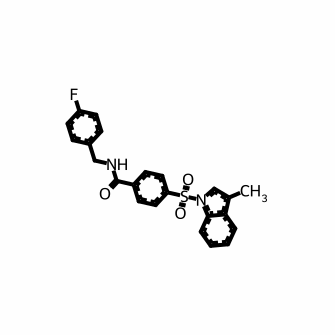 Cc1cn(S(=O)(=O)c2ccc(C(=O)NCc3ccc(F)cc3)cc2)c2ccccc12